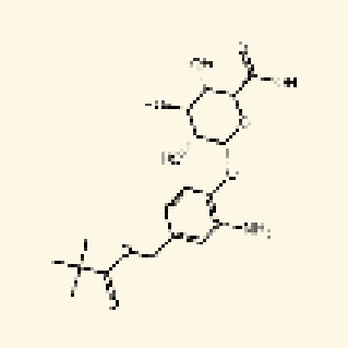 CC(C)(C)C(=O)OCc1ccc(O[C@H]2O[C@H](C(=O)O)[C@@H](O)[C@H](O)[C@H]2O)c(N)c1